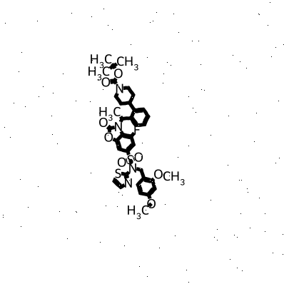 COc1ccc(CN(c2nccs2)S(=O)(=O)c2cc(F)c3c(c2)oc(=O)n3C(C)c2ccccc2C2CCN(C(=O)OC(C)(C)C)CC2)c(OC)c1